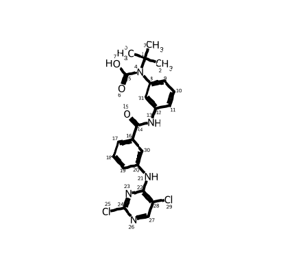 CC(C)(C)N(C(=O)O)c1cccc(NC(=O)c2cccc(Nc3nc(Cl)ncc3Cl)c2)c1